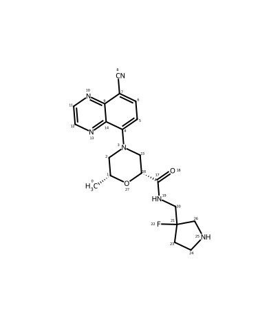 C[C@@H]1CN(c2ccc(C#N)c3nccnc23)C[C@H](C(=O)NCC2(F)CCNC2)O1